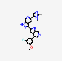 COc1cc(F)cc(-c2cncc3[nH]c(-c4n[nH]c5cnc(-c6cnc(C)n6C)cc45)cc23)c1